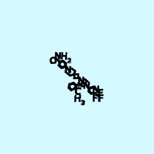 Cc1ccccc1[C@@H]1CN(c2ccc(C(F)(F)F)nc2)CCN1C1CC2(CCN(c3ccc(C(N)=O)cc3)CC2)C1